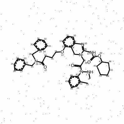 CNN(C(=O)CN1Cc2c(cccc2OCCCC(=O)N(Cc2ccccc2)Cc2ccccc2)N=C1NC(=O)OC1CCCCC1)c1ccccc1C